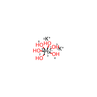 [K+].[K+].[OH][Pt-2]([OH])([OH])([OH])([OH])[OH]